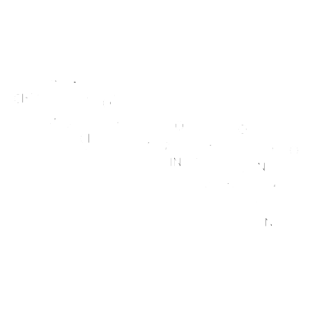 CN(C)CCN1C(=O)COc2cc(NC(=O)CCCOc3ccc(Cl)cc3Cl)ccc21